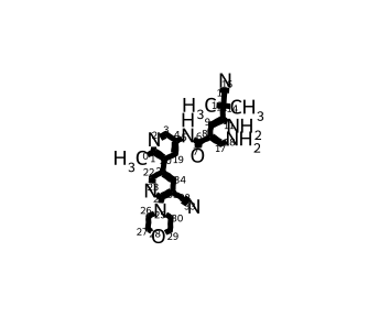 Cc1ncc(NC(=O)C(/C=C(\N)C(C)(C)C#N)=C/N)cc1-c1cnc(N2CCOCC2)c(C#N)c1